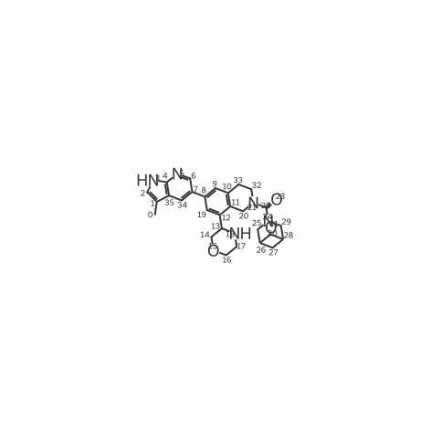 Cc1c[nH]c2ncc(-c3cc4c(c(C5COCCN5)c3)CN(C(=O)N3CC5CC(C3)C5=O)CC4)cc12